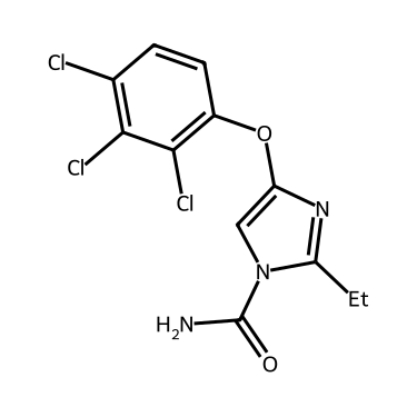 CCc1nc(Oc2ccc(Cl)c(Cl)c2Cl)cn1C(N)=O